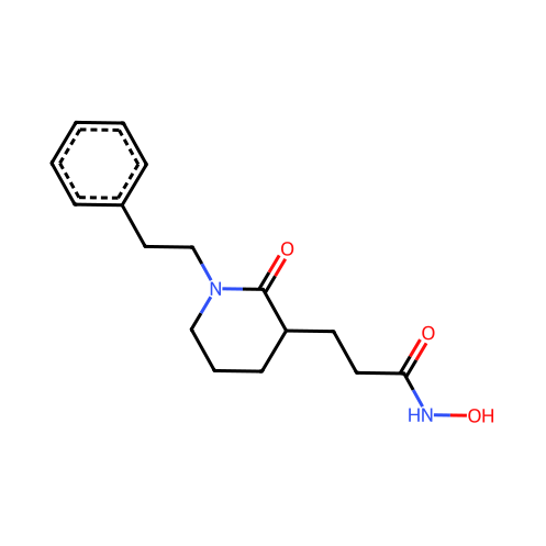 O=C(CCC1CCCN(CCc2ccccc2)C1=O)NO